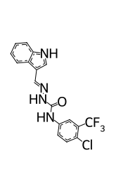 O=C(NN=Cc1c[nH]c2ccccc12)Nc1ccc(Cl)c(C(F)(F)F)c1